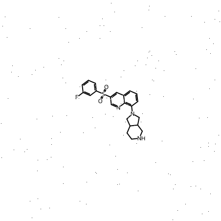 O=S(=O)(c1cccc(F)c1)c1cnc2c(N3CC4CCNCC4C3)cccc2c1